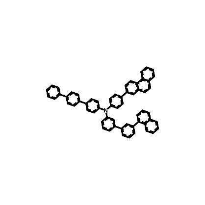 c1ccc(-c2ccc(-c3ccc(N(c4ccc(-c5ccc6c(ccc7ccccc76)c5)cc4)c4cccc(-c5cccc(-c6cccc7ccccc67)c5)c4)cc3)cc2)cc1